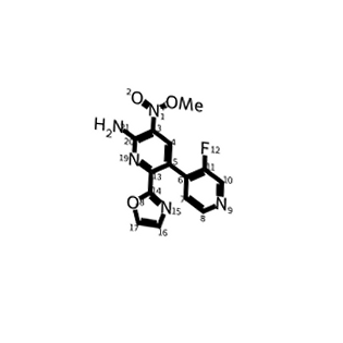 CO[N+](=O)c1cc(-c2ccncc2F)c(-c2ncco2)nc1N